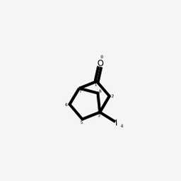 O=C1CC2(I)CCC1C2